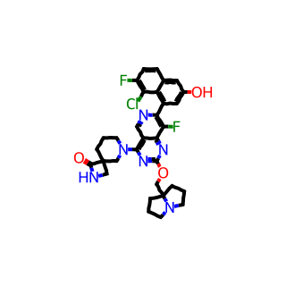 O=C1NCC12CCCN(c1nc(OCC34CCCN3CCC4)nc3c(F)c(-c4cc(O)cc5ccc(F)c(Cl)c45)ncc13)C2